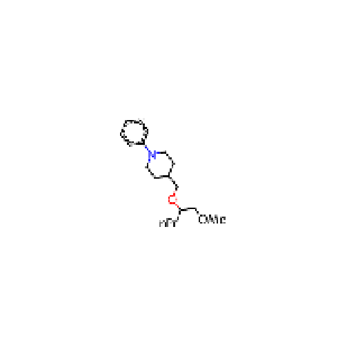 CCCC(COC)OCC1CCN(c2c[c]ccc2)CC1